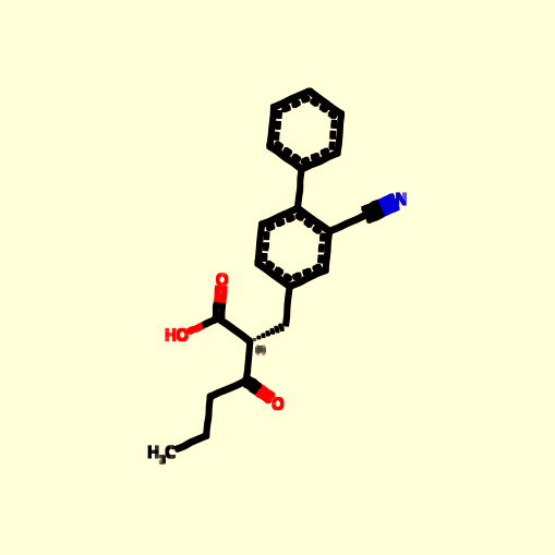 CCCC(=O)[C@@H](Cc1ccc(-c2ccccc2)c(C#N)c1)C(=O)O